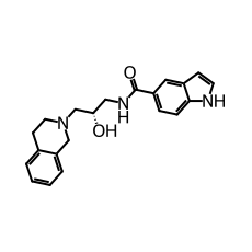 O=C(NC[C@H](O)CN1CCc2ccccc2C1)c1ccc2[nH]ccc2c1